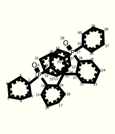 O=P(c1ccccc1)(c1ccccc1)c1ccccc1Cc1ccccc1P(=O)(c1ccccc1)c1ccccc1